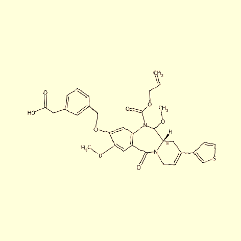 C=CCOC(=O)N1c2cc(OCc3cccc(CC(=O)O)c3)c(OC)cc2C(=O)N2CC=C(c3ccsc3)C[C@H]2C1OC